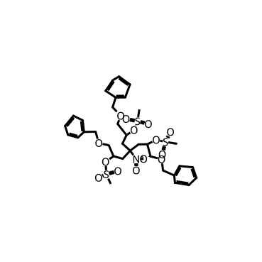 CS(=O)(=O)OC(COCc1ccccc1)CC(CC(COCc1ccccc1)OS(C)(=O)=O)(CC(COCc1ccccc1)OS(C)(=O)=O)[N+](=O)[O-]